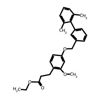 CCOC(=O)CCc1ccc(OCc2cccc(-c3c(C)cccc3C)c2)cc1OC